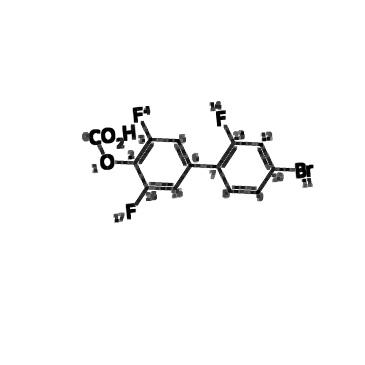 O=C(O)Oc1c(F)cc(-c2ccc(Br)cc2F)cc1F